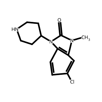 Cn1c(=O)n(C2CCNCC2)c2ccc(Cl)cc21